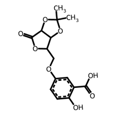 CC1(C)OC2C(=O)OC(COc3ccc(O)c(C(=O)O)c3)C2O1